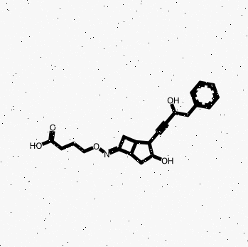 O=C(O)CCCON=C1CC2C1CC(O)C2C#CC(O)Cc1ccccc1